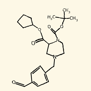 CC(C)(C)OC(=O)N1CCN(Cc2ccc(C=O)cc2)CC1C(=O)OC1CCCC1